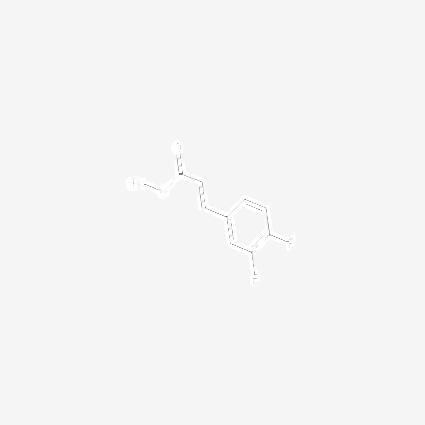 CC(C)(C)OC(=O)C=Cc1ccc(F)c(F)c1